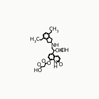 CCc1ccc(CC)c2c1CC(NC[C@@H](O)c1ccc(OC(=O)CC(=O)O)c3[nH]c(=O)ccc13)C2.Cl